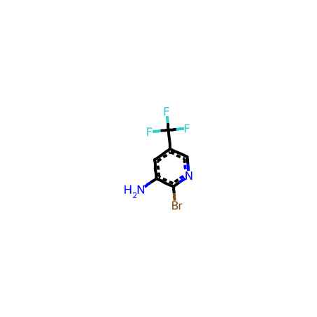 Nc1cc(C(F)(F)F)cnc1Br